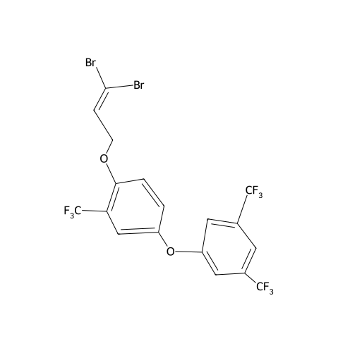 FC(F)(F)c1cc(Oc2ccc(OCC=C(Br)Br)c(C(F)(F)F)c2)cc(C(F)(F)F)c1